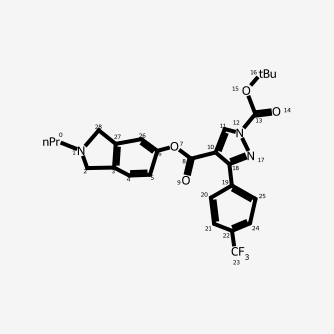 CCCN1Cc2ccc(OC(=O)c3cn(C(=O)OC(C)(C)C)nc3-c3ccc(C(F)(F)F)cc3)cc2C1